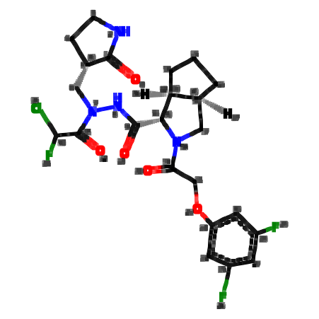 O=C1NCC[C@H]1CN(NC(=O)[C@@H]1[C@H]2CCC[C@H]2CN1C(=O)COc1cc(F)cc(F)c1)C(=O)C(F)Cl